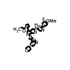 C=CC(=O)N1CCCC1c1cnc(N2CC(C3CN(C4CCOCC4)CCS3(=O)=O)C2)c2cnc(Nc3ccnc(N4CC[C@@H](OC)[C@@H](F)C4)n3)cc12